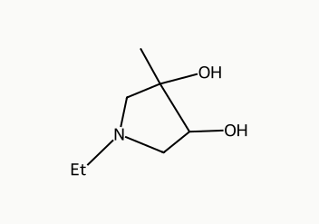 CCN1CC(O)C(C)(O)C1